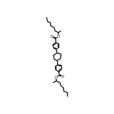 CCCCCCC(C)OC(=O)c1ccc(C2CCC(c3ccc(C(=O)OC(C)CCCCCC)cc3)CC2)cc1